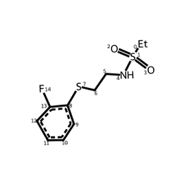 CCS(=O)(=O)NCCSc1cc[c]cc1F